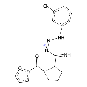 N=C(/N=N\Nc1cccc(Cl)c1)C1CCCN1C(=O)c1ccco1